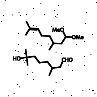 CC(CC=O)CCCC(C)(C)O.COC(CC(C)CCC=C(C)C)OC